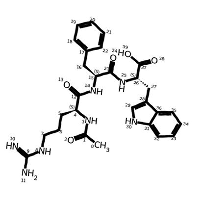 CC(=O)N[C@@H](CCCNC(=N)N)C(=O)N[C@@H](Cc1ccccc1)C(=O)N[C@@H](Cc1c[nH]c2ccccc12)C(=O)O